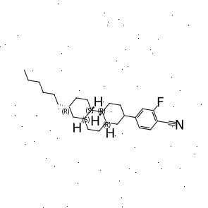 CCCCCC[C@@H]1CC[C@H]2[C@@H](CC[C@@H]3CC(c4ccc(C#N)c(F)c4)CC[C@H]32)C1